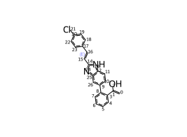 C=C(O)c1ccccc1-c1ccc2[nH]c(/C=C/c3ccc(Cl)cc3)nc2c1